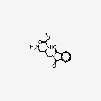 COC(=O)N[C@H](CN)CN1C(=O)c2ccccc2C1=O